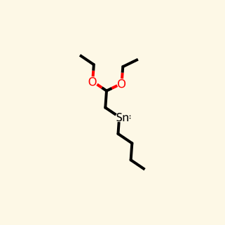 CCC[CH2][Sn][CH2]C(OCC)OCC